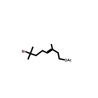 CC(=O)OCCC(C)=CCCC(C)(C)Br